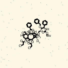 CC1=C2[C@@H](OC(=O)CCl)C(=O)[C@@]3(C)C([C@H](OC(=O)c4ccccc4)[C@](O)(C[C@@H]1OCO[C@H](OCc1ccccc1)[C@@H](NC(=O)OC(C)(C)C)c1ccccc1)C2(C)C)[C@]1(O)CO[C@@H]1C[C@@H]3OC(=O)CCl